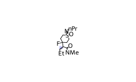 CC/C=C(\C(=O)NC)C1(F)CCS(=O)(=NCCC)CC1